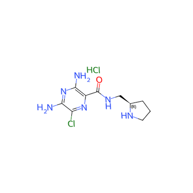 Cl.Nc1nc(N)c(C(=O)NC[C@H]2CCCN2)nc1Cl